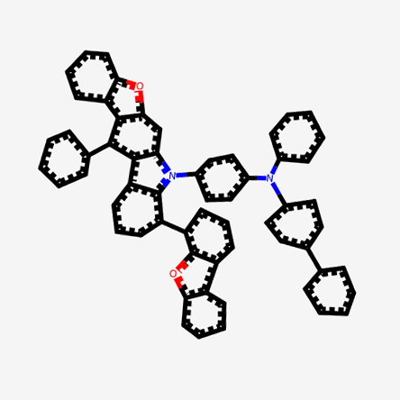 c1ccc(-c2ccc(N(c3ccccc3)c3ccc(-n4c5cc6oc7ccccc7c6c(-c6ccccc6)c5c5cccc(-c6cccc7c6oc6ccccc67)c54)cc3)cc2)cc1